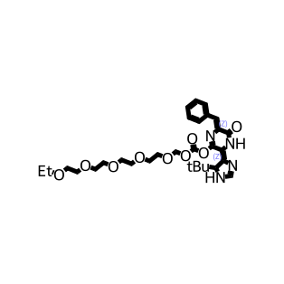 CCOCCOCCOCCOCCOCOC(=O)Oc1n/c(=C\c2ccccc2)c(=O)[nH]/c1=C1\N=CNC1C(C)(C)C